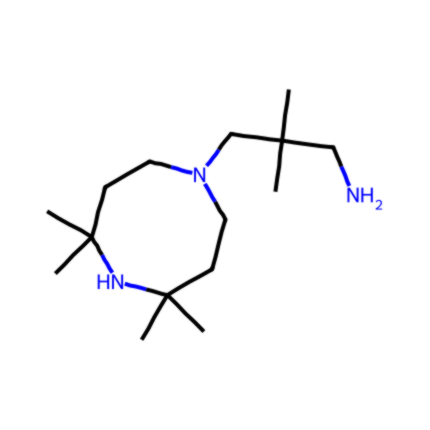 CC(C)(CN)CN1CCC(C)(C)NC(C)(C)CC1